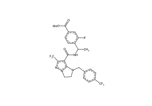 COC(=O)c1ccc(C(C)NC(=O)c2c(C(F)(F)F)nn3c2N(Cc2ccc(C(F)(F)F)cc2)CC3)c(F)c1